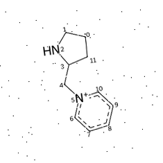 [CH]1CNC(C[n+]2ccccc2)C1